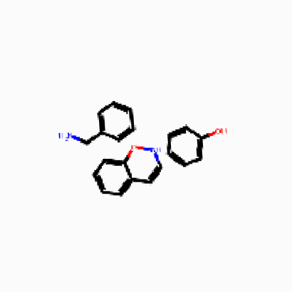 C1=Cc2ccccc2ON1.NCc1ccccc1.Oc1ccccc1